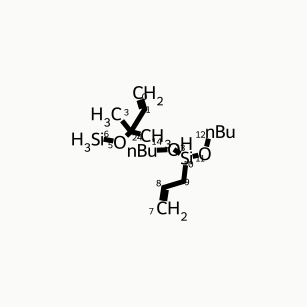 C=CC(C)(C)O[SiH3].C=CC[SiH](OCCCC)OCCCC